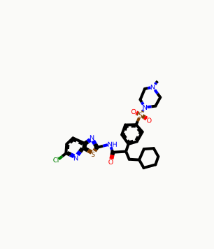 CN1CCN(S(=O)(=O)c2ccc(C(CC3CCCCC3)C(=O)Nc3nc4ccc(Cl)nc4s3)cc2)CC1